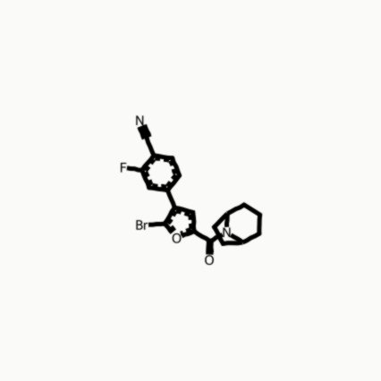 N#Cc1ccc(-c2cc(C(=O)N3C4CCCC3CC4)oc2Br)cc1F